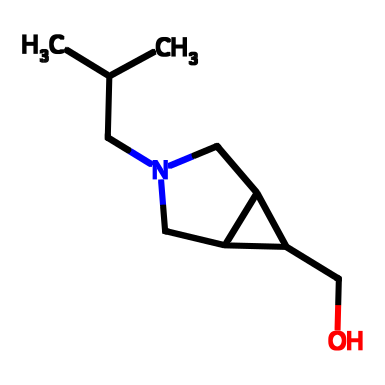 CC(C)CN1CC2C(CO)C2C1